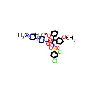 CCOc1ccccc1C1(OC(=O)N2CCN(C3CCN(C)CC3)CC2)C(=O)N(S(=O)(=O)c2ccc(Cl)cc2Cl)c2ccc(OC)cc21